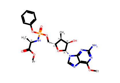 CCOc1nc(N)nc2c1ncn2[C@@H]1O[C@H](COP(=O)(N[C@H](C)C(=O)OC(C)C)Oc2ccccc2)[C@@H](C)[C@H]1O